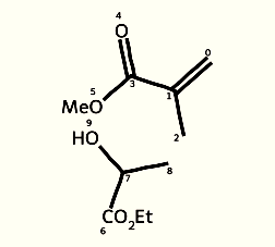 C=C(C)C(=O)OC.CCOC(=O)C(C)O